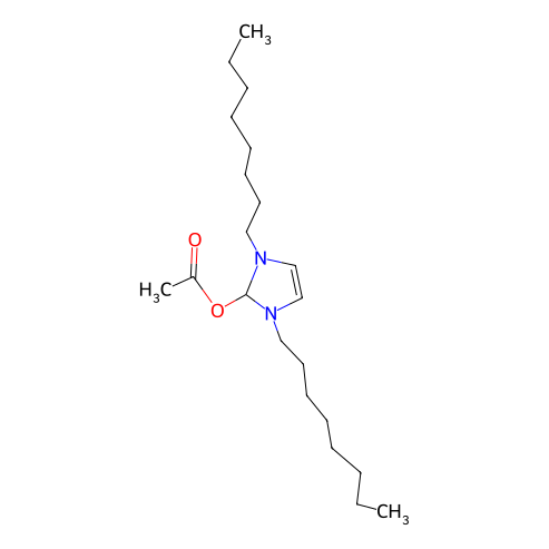 CCCCCCCCN1C=CN(CCCCCCCC)C1OC(C)=O